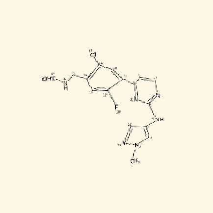 Cn1cc(Nc2nccc(-c3cc(Cl)c(CNC=O)cc3F)n2)cn1